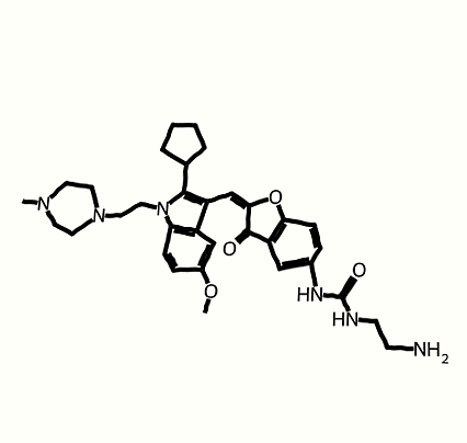 COc1ccc2c(c1)c(C=C1Oc3ccc(NC(=O)NCCN)cc3C1=O)c(C1CCCC1)n2CCN1CCN(C)CC1